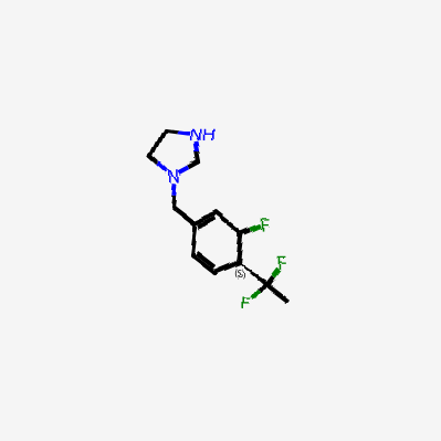 CC(F)(F)[C@H]1C=CC(CN2CCNC2)=CC1F